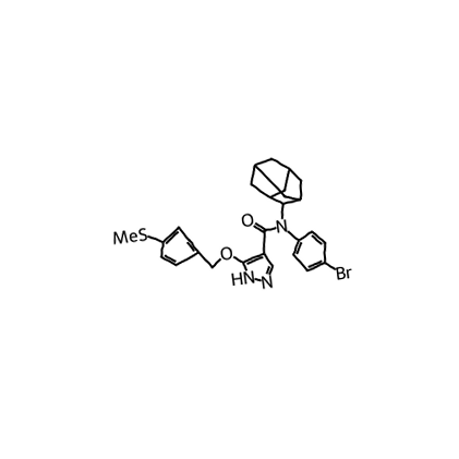 CSc1ccc(COc2[nH]ncc2C(=O)N(c2ccc(Br)cc2)C2C3CC4CC(C3)CC2C4)cc1